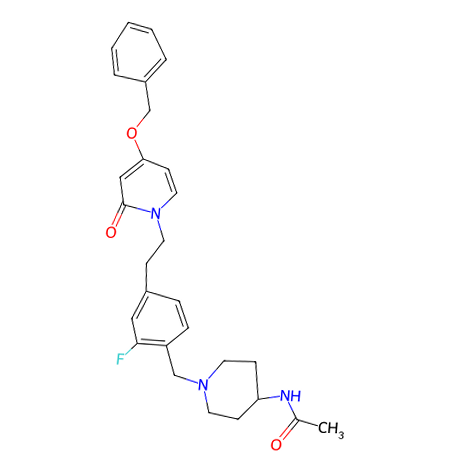 CC(=O)NC1CCN(Cc2ccc(CCn3ccc(OCc4ccccc4)cc3=O)cc2F)CC1